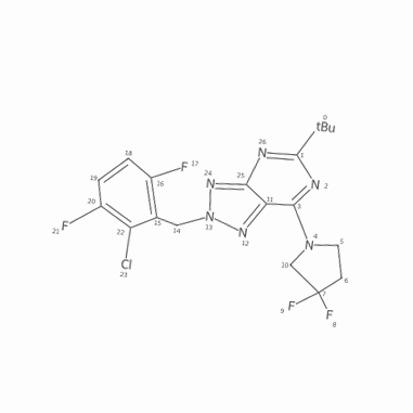 CC(C)(C)c1nc(N2CCC(F)(F)C2)c2nn(Cc3c(F)ccc(F)c3Cl)nc2n1